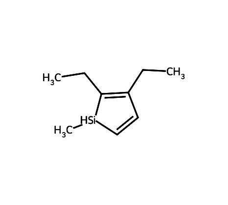 CCC1=C(CC)[SiH](C)C=C1